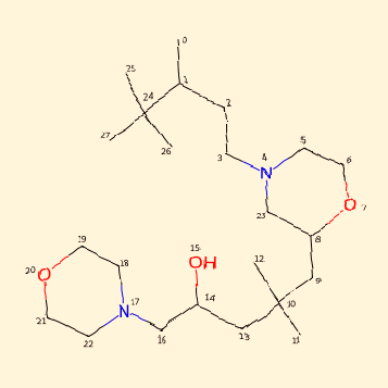 CC(CCN1CCOC(CC(C)(C)CC(O)CN2CCOCC2)C1)C(C)(C)C